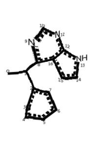 CC(c1ccccc1)c1ncnc2[nH]ccc12